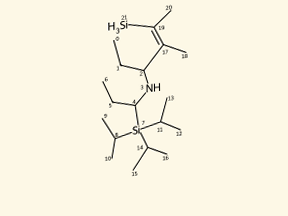 CCC(NC(CC)[Si](C(C)C)(C(C)C)C(C)C)C(C)=C(C)[SiH3]